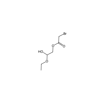 CCOC(O)COC(=O)CBr